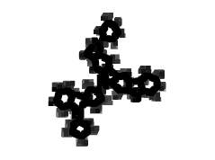 c1ccc(-n2ccc3cc4c(cc32)c2cc3c(cc2n4-c2ccc4c(c2)c2ccccc2n4-c2ccccc2)sc2ccccc23)cc1